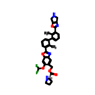 Cc1c(-c2nc3c(o2)CNC3)cccc1-c1cccc(-c2nc3cc(COC(=O)[C@@H]4CCCN4)c(OC(F)F)cc3o2)c1C